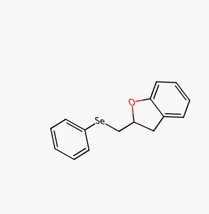 c1ccc([Se]CC2Cc3ccccc3O2)cc1